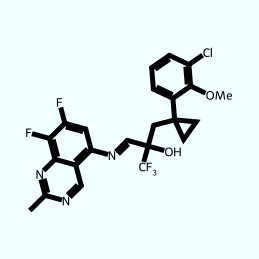 COc1c(Cl)cccc1C1(CC(O)(C=Nc2cc(F)c(F)c3nc(C)ncc23)C(F)(F)F)CC1